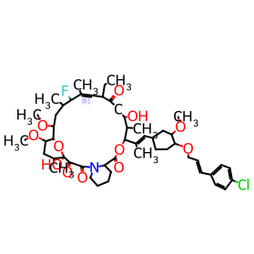 CCC1/C=C(\C)C(F)C(C)CC(OC)C2OC(O)(C(=O)C(=O)N3CCCCC3C(=O)OC(C(C)=CC3CCC(OCC=Cc4ccc(Cl)cc4)C(OC)C3)C(C)C(O)CC1=O)C(C)CC2OC